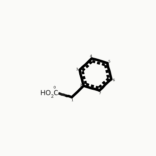 O=C(O)Cc1c[c]c[c]c1